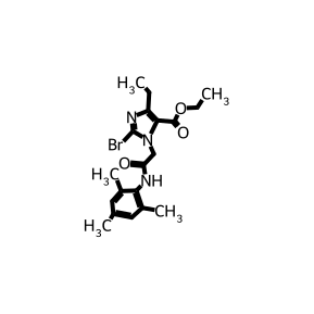 CCOC(=O)c1c(CC)nc(Br)n1CC(=O)Nc1c(C)cc(C)cc1C